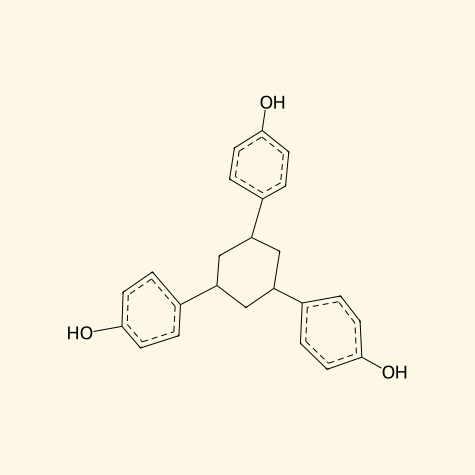 Oc1ccc(C2CC(c3ccc(O)cc3)CC(c3ccc(O)cc3)C2)cc1